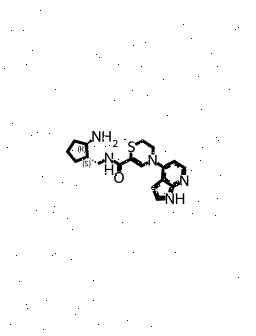 N[C@@H]1CCC[C@H]1CNC(=O)C1=CN(c2ccnc3[nH]ccc23)CCS1